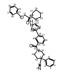 N#CC1(c2ccccc2)CCN(C(=O)c2cccc(-c3n[nH]c([C@H]4CCCCN4C(=O)COc4ccccc4)n3)c2)CC1